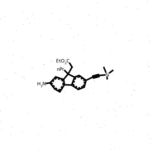 CCCC1(CC(=O)OCC)c2cc(N)ccc2-c2ccc(C#C[Si](C)(C)C)cc21